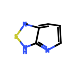 c1cnc2c(c1)[N]SN2